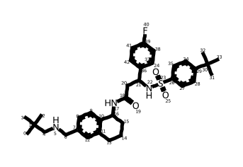 CC(C)(C)CNCc1ccc2c(c1)CCCC2NC(=O)CC(NS(=O)(=O)c1ccc(C(C)(C)C)cc1)c1ccc(F)cc1